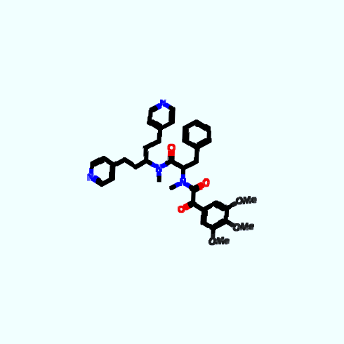 COc1cc(C(=O)C(=O)N(C)C(Cc2ccccc2)C(=O)N(C)C(CCc2ccncc2)CCc2ccncc2)cc(OC)c1OC